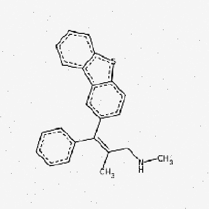 CNCC(C)=C(c1ccccc1)c1ccc2sc3ccccc3c2c1